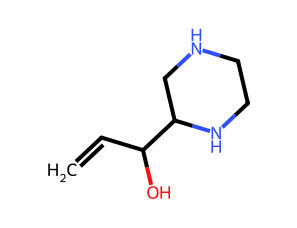 C=CC(O)C1CNCCN1